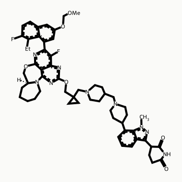 CCc1c(F)ccc2cc(OCOC)cc(-c3nc4c5c(nc(OCC6(CN7CCC(CN8CCC(c9cccc%10c(C%11CCC(=O)NC%11=O)nn(C)c9%10)CC8)CC7)CC6)nc5c3F)N3CCCCC[C@H]3CO4)c12